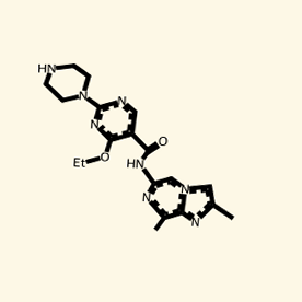 CCOc1nc(N2CCNCC2)ncc1C(=O)Nc1cn2cc(C)nc2c(C)n1